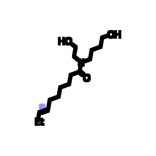 CC/C=C/CCCCCC(=O)N(CCO)CCCCO